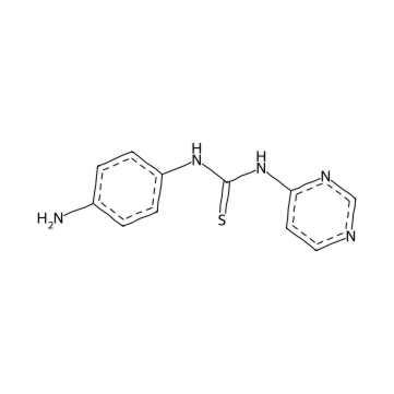 Nc1ccc(NC(=S)Nc2ccncn2)cc1